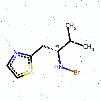 CC(C)[C@@H](Cc1nccs1)NBr